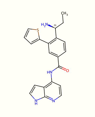 CC[C@H](N)c1ccc(C(=O)Nc2ccnc3[nH]ccc23)cc1-c1cccs1